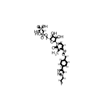 Cn1c(=O)n([C@@H]2O[C@H](COP(=O)(O)CP(=O)(O)O)C(O)C2O)cc/c1=N/OCc1ccc(-c2cn(CCF)nn2)cc1